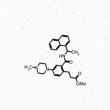 COC(=O)CCc1ccc(N2CCN(C)CC2)cc1C(=O)NC(C)c1cccc2ccccc12